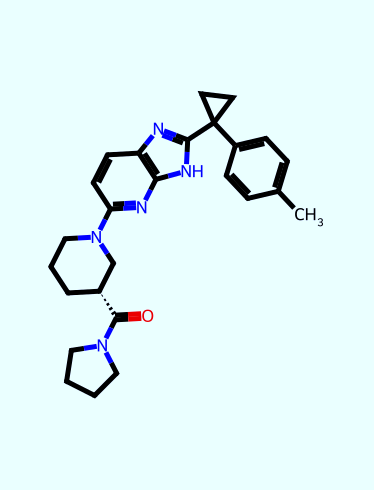 Cc1ccc(C2(c3nc4ccc(N5CCC[C@@H](C(=O)N6CCCC6)C5)nc4[nH]3)CC2)cc1